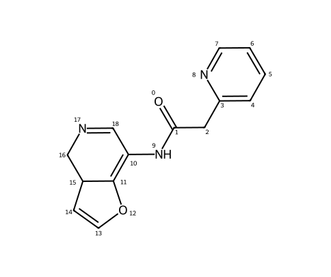 O=C(Cc1ccccn1)NC1=C2OC=CC2CN=C1